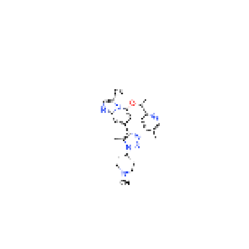 Cc1ccc(C(C)Oc2cc(-c3nnn(C4CCN(C#N)CC4)c3C)cc3ncc(C#N)n23)nc1